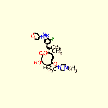 C=C(O[C@H]1/C=C/C(C)[C@@H](/C(C)=C/c2cc(F)c3nnn(C4CCOCC4)c3c2)OC(=O)CC(O)CCC1C)N1CCN(C)CC1